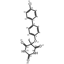 CC1(Oc2ccc(-c3ccc(Cl)cc3)cc2)C(=O)NC(=O)NC1=O